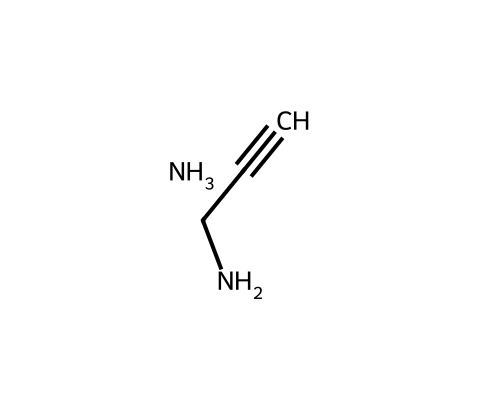 C#CCN.N